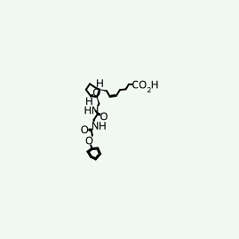 O=C(O)CCC/C=C\C[C@H]1[C@@H](CNC(=O)CNC(=O)COc2ccccc2)[C@H]2CC[C@@H]1O2